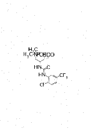 C[N+](C)(C)CC(CC(=O)[O-])NC(=O)Nc1cc(C(F)(F)F)ccc1Cl